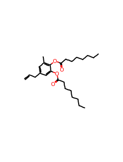 C=CCc1cc(C)c(OC(=O)CCCCCCC)c(OC(=O)CCCCCCC)c1